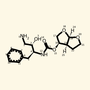 NC[C@H](O)[C@H](Cc1ccccc1)NC(=O)O[C@H]1CO[C@H]2OCC[C@H]21